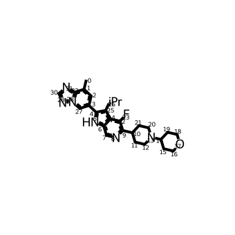 Cc1cc(-c2[nH]c3cnc(C4CCN(C5CCOCC5)CC4)c(F)c3c2C(C)C)cn2ncnc12